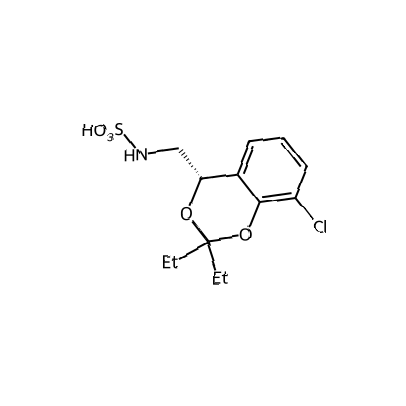 CCC1(CC)Oc2c(Cl)cccc2[C@@H](CNS(=O)(=O)O)O1